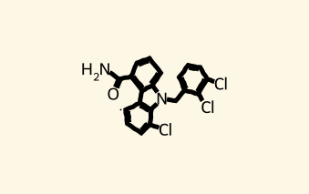 NC(=O)c1cccc2c1c1[c]ccc(Cl)c1n2Cc1cccc(Cl)c1Cl